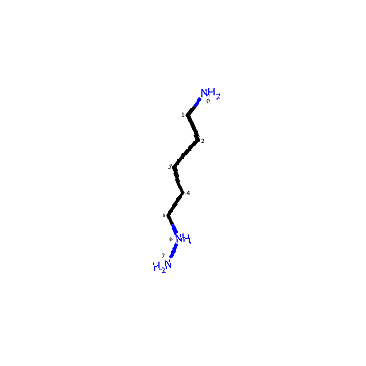 NCCCCCNN